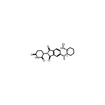 CCN[C@H]1CCCC[C@H]1N(C)c1ccc2c(c1)C(=O)N(C1CCC(=O)NC1=O)C2=O